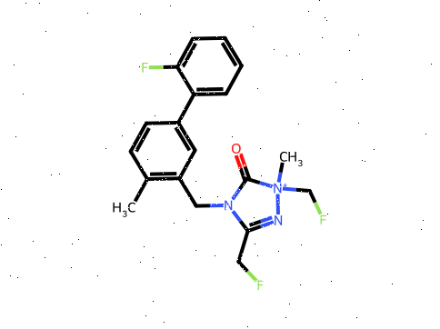 Cc1ccc(-c2ccccc2F)cc1CN1C(=O)[N+](C)(CF)N=C1CF